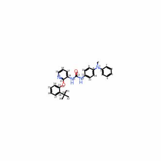 CN(c1ccccc1)c1ccc(NC(=O)Nc2cccnc2Oc2ccccc2C(C)(C)C)cc1